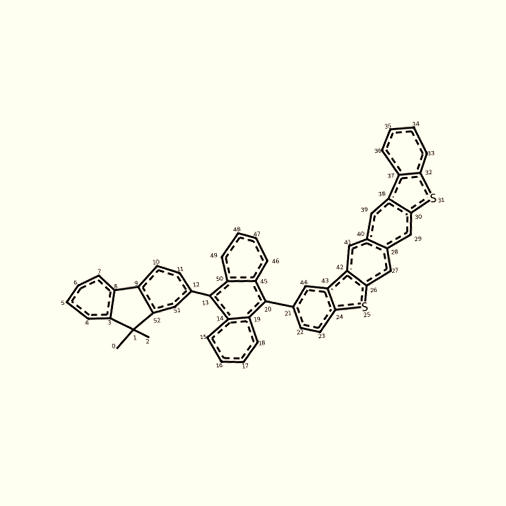 CC1(C)c2ccccc2-c2ccc(-c3c4ccccc4c(-c4ccc5sc6cc7cc8sc9ccccc9c8cc7cc6c5c4)c4ccccc34)cc21